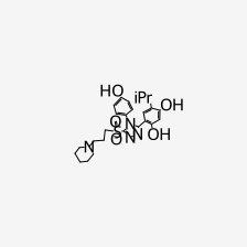 CC(C)c1cc(-c2nnc(S(=O)(=O)CCCN3CCCCC3)n2-c2ccc(O)cc2)c(O)cc1O